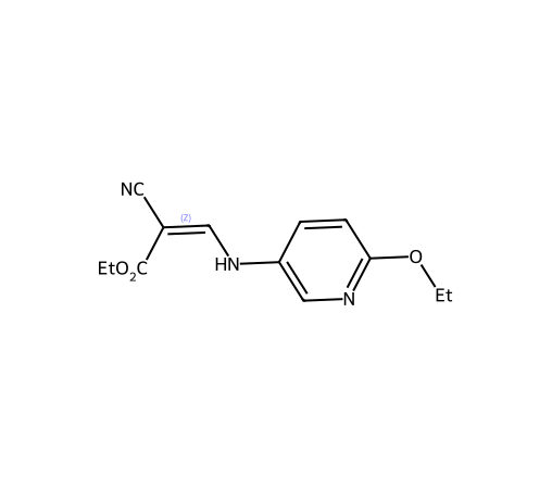 CCOC(=O)/C(C#N)=C\Nc1ccc(OCC)nc1